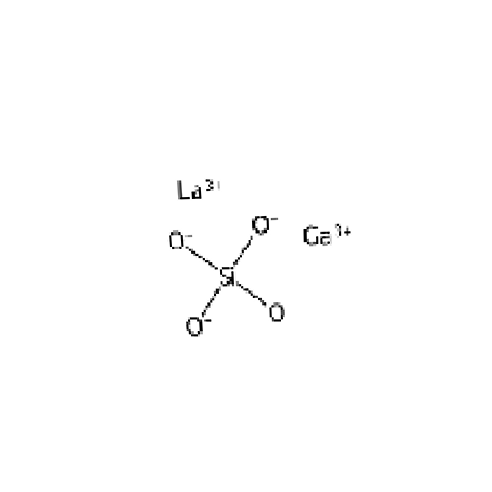 [Ga+3].[La+3].[O-][Si]([O-])([O-])[O-]